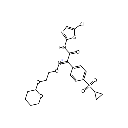 O=C(Nc1ncc(Cl)s1)/C(=N/OCCOC1CCCCO1)c1ccc(S(=O)(=O)C2CC2)cc1